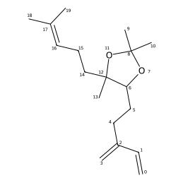 C=CC(=C)CCC1OC(C)(C)OC1(C)CCC=C(C)C